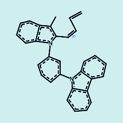 C=C/C=C\c1c(C)c2ccccc2n1-c1cccc(-n2c3ccccc3c3ccccc32)c1